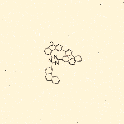 C1=CC2C=Cc3ccccc3C2C=C1c1nc(-c2ccc3ccccc3c2)nc(-c2cccc3oc4ccc(-c5ccc(-c6ccccc6)cc5)cc4c23)n1